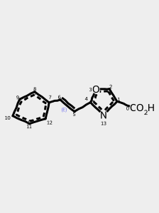 O=C(O)c1coc(/C=C/c2ccccc2)n1